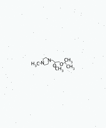 COC(COC(C)C)CN1CCN(C)CC1